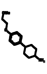 COCCOc1ccc(C2CCC(N)CC2)cc1